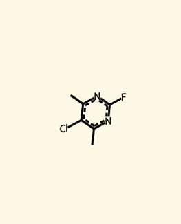 Cc1nc(F)nc(C)c1Cl